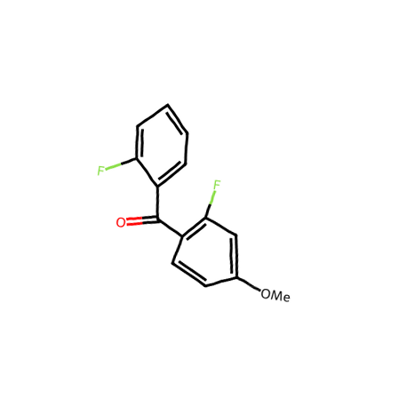 COc1ccc(C(=O)c2ccccc2F)c(F)c1